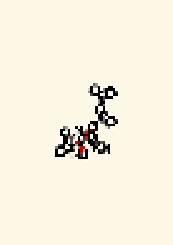 c1ccc(-n2c3ccccc3c3cnccc32)c(-c2nc(-c3ccc(-n4c5ccccc5c5cc(-n6c7ccccc7c7ccccc76)ccc54)cc3)nc(-c3ccccc3-n3c4ccccc4c4ncccc43)n2)c1